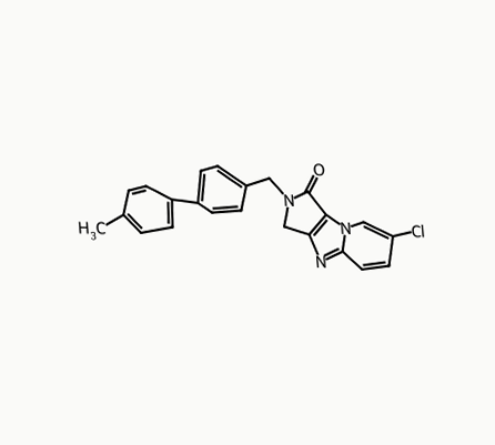 Cc1ccc(-c2ccc(CN3Cc4nc5ccc(Cl)cn5c4C3=O)cc2)cc1